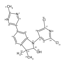 Cc1ncc(-c2ccc3c(c2)N(c2cc(Cl)nc(Cl)c2)C(O)C3(C)C)cn1